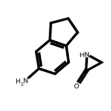 Nc1ccc2c(c1)CCC2.O=C1CN1